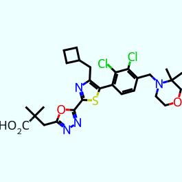 CC(C)(Cc1nnc(-c2nc(CC3CCC3)c(-c3ccc(CN4CCOCC4(C)C)c(Cl)c3Cl)s2)o1)C(=O)O